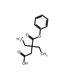 CCC(CC)(CC(=O)O)C(=O)Oc1ccccc1